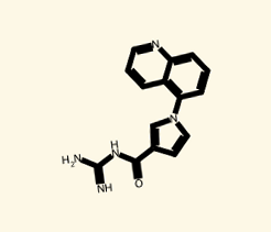 N=C(N)NC(=O)c1ccn(-c2cccc3ncccc23)c1